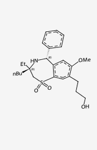 CCCC[C@]1(CC)CS(=O)(=O)c2cc(CCCO)c(OC)cc2[C@@H](c2ccccc2)N1